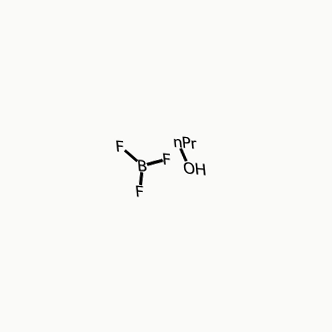 CCCO.FB(F)F